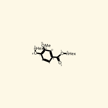 CCCCCCOC(=O)c1ccc(OCCCCCC)c(OC)c1